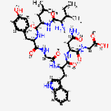 CCC(C)C(N)C(=O)NC(CC(C)C)C(=O)NC(Cc1ccc(O)cc1)C(=O)NCC(=O)NC(Cc1c[nH]c2ccccc12)C(=O)NC(CC(N)=O)C(=O)NCC(=O)O